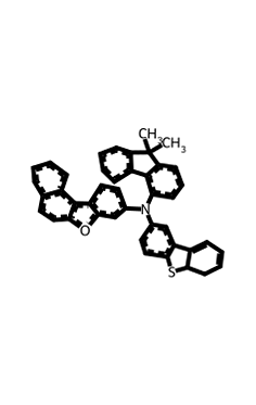 CC1(C)c2ccccc2-c2c(N(c3ccc4c(c3)C3=CC=CCC3S4)c3ccc4c(c3)oc3ccc5ccccc5c34)cccc21